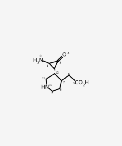 NC1CC1=O.O=C(O)CC1CCNCC1